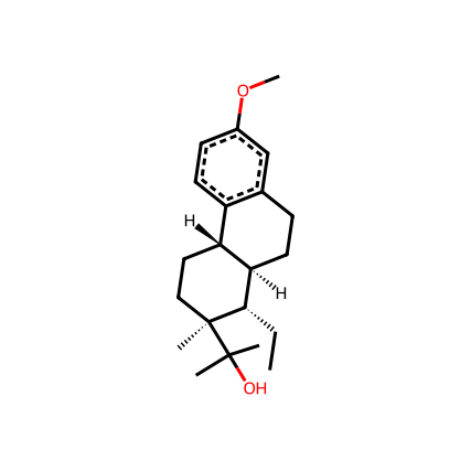 CC[C@H]1[C@@H]2CCc3cc(OC)ccc3[C@H]2CC[C@]1(C)C(C)(C)O